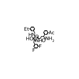 CCc1cccc(CNC[C@@H](O)[C@H](Cc2cc(F)cc(F)c2)NC(=O)CCC(C(N)=O)c2cccc(C(C)=O)c2)c1